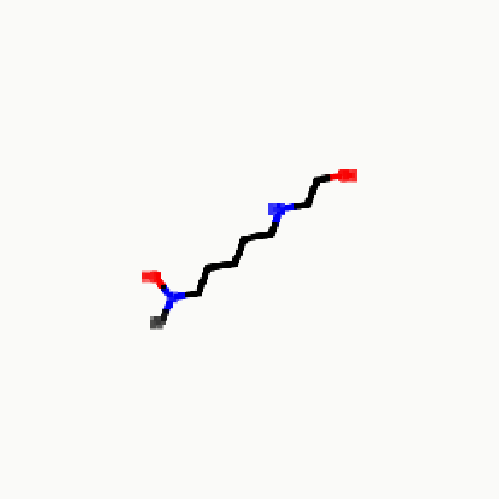 CC(C)N(O)CCCCCNCCO